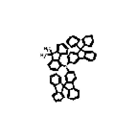 CC1(C)c2ccccc2-c2c(N(c3ccc4c(c3)-c3ccccc3C4(c3ccccc3)c3ccccc3)c3ccc4c(c3)C3(c5ccccc5-c5ccccc53)c3ccccc3-4)cccc21